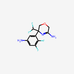 NC1=NC(c2cc(N)cc(F)c2F)(C(F)F)COC1